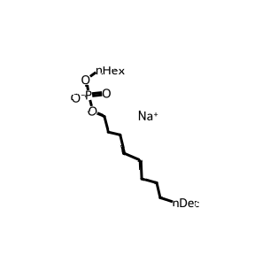 CCCCCCCCCCCCCCCCCCOP(=O)([O-])OCCCCCC.[Na+]